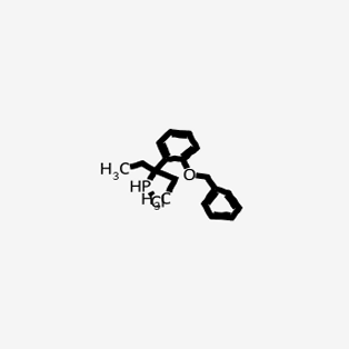 CCC(CC)(PCl)c1ccccc1OCc1ccccc1